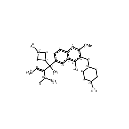 COc1nc2ccc(C(O)(/C(=C/N)N(C)N)C3CN(C(C)=O)C3)cc2c(Cl)c1CN1CCC(C(F)(F)F)CC1